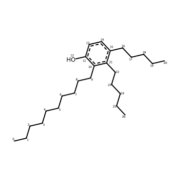 CCCCCCCCCCc1c(O)ccc(CCCCC)c1CCCCC